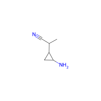 CC(C#N)C1CC1N